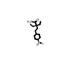 CCC(CC)(CCc1ccc([N+](=O)[O-])cc1)C(N)=O